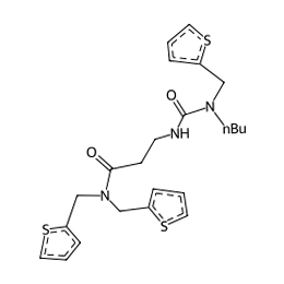 CCCCN(Cc1cccs1)C(=O)NCCC(=O)N(Cc1cccs1)Cc1cccs1